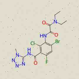 CCN(CC)C(=O)C(=O)Nc1c(Br)cc(F)c(C(=O)Nc2nnnn2C)c1Cl